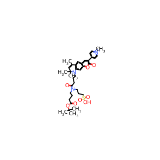 CC1=CC(C)(C)N(CCCC(=O)N(CCCC(=O)OC(C)(C)C)CCCS(=O)(=O)O)c2cc3oc(=O)c(-c4cc[n+](C)cc4)cc3cc21